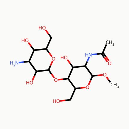 COC1OC(CO)C(OC2OC(CO)C(O)C(N)C2O)C(O)C1NC(C)=O